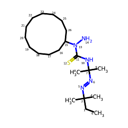 CCC(C)(C)N=NC(C)(C)NC(=S)N(N)C1CCCCCCCCCCC1